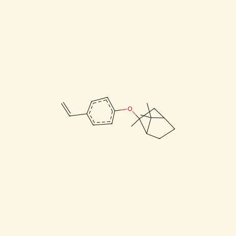 C=Cc1ccc(OC2(C)CC3CCC2C3(C)C)cc1